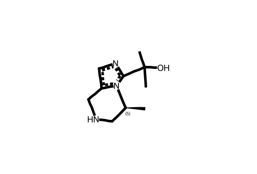 C[C@H]1CNCc2cnc(C(C)(C)O)n21